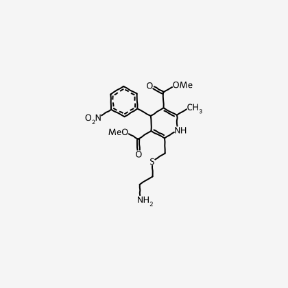 COC(=O)C1=C(C)NC(CSCCN)=C(C(=O)OC)C1c1cccc([N+](=O)[O-])c1